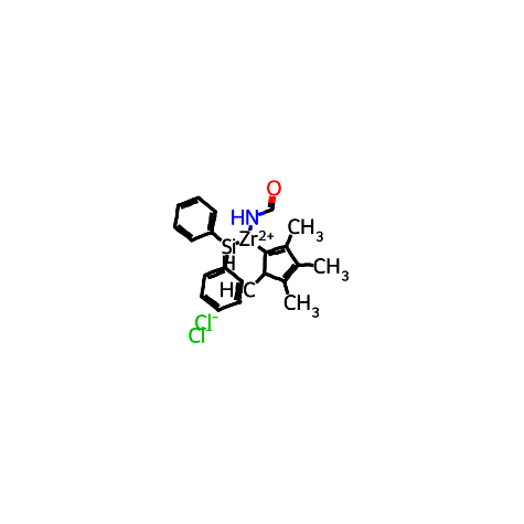 CC1=C(C)C(C)[C]([Zr+2]([NH]C=O)[SiH](c2ccccc2)c2ccccc2)=C1C.[Cl-].[Cl-]